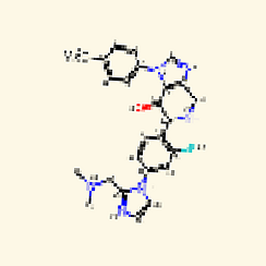 COc1ccc(-n2cnc3c2C(=O)C(c2ccc(-n4ccnc4CN(C)C)cc2F)NC3)cc1